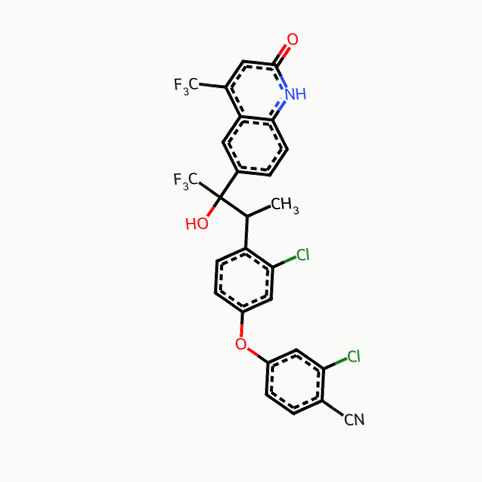 CC(c1ccc(Oc2ccc(C#N)c(Cl)c2)cc1Cl)C(O)(c1ccc2[nH]c(=O)cc(C(F)(F)F)c2c1)C(F)(F)F